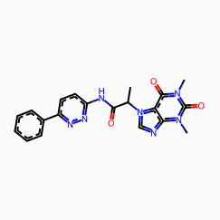 CC(C(=O)Nc1ccc(-c2ccccc2)nn1)n1cnc2c1c(=O)n(C)c(=O)n2C